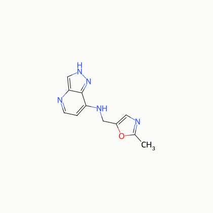 Cc1ncc(CNc2ccnc3c[nH]nc23)o1